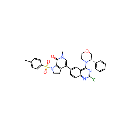 Cc1ccc(S(=O)(=O)n2ccc3c(-c4ccc5nc(Cl)nc(N6CCOC[C@@H]6c6ccccc6)c5c4)cn(C)c(=O)c32)cc1